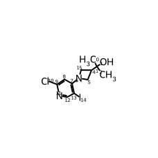 CC(C)(O)C1CN(c2cc(Cl)ncc2I)C1